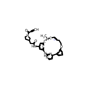 C#CC(=O)N1CCC(CC(=O)Nc2cc3cc(c2)Nc2nccc(n2)-c2cccc(c2)OCC/C=C/CN(C)C3)C1